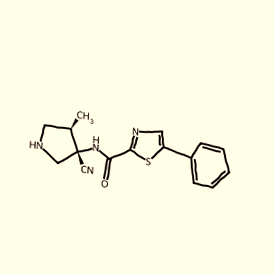 C[C@@H]1CNC[C@@]1(C#N)NC(=O)c1ncc(-c2ccccc2)s1